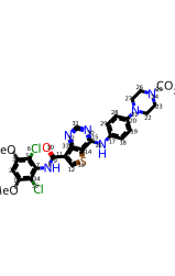 COc1cc(OC)c(Cl)c(NC(=O)c2csc3c(Nc4ccc(N5CCN(C(=O)O)CC5)cc4)ncnc23)c1Cl